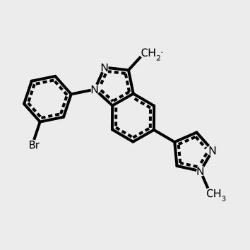 [CH2]c1nn(-c2cccc(Br)c2)c2ccc(-c3cnn(C)c3)cc12